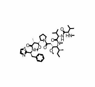 CC[C@H](C)[C@@H]([C@@H](CC(=O)N1CCC[C@H]1C(OC)[C@@H](C)C(=O)N[C@@H](Cc1ccccc1)c1nccs1)OC)N(C)C(=O)[C@@H](NC(=O)[C@@H](NC)C(C)C)C(C)C